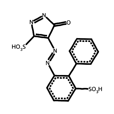 O=C1N=NC(S(=O)(=O)O)=C1N=Nc1cccc(S(=O)(=O)O)c1-c1ccccc1